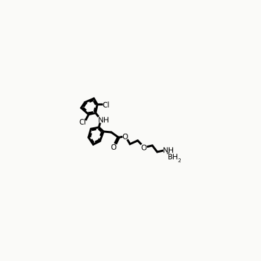 BNCCOCCOC(=O)Cc1ccccc1Nc1c(Cl)cccc1Cl